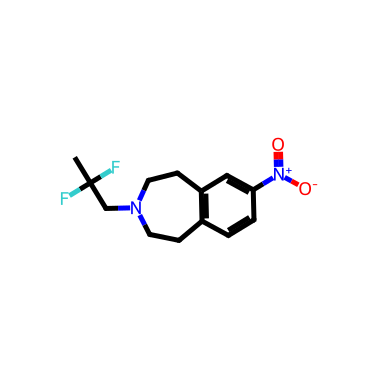 CC(F)(F)CN1CCc2ccc([N+](=O)[O-])cc2CC1